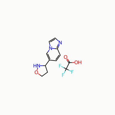 O=C(O)C(F)(F)F.c1cn2cc(C3CCON3)ccc2n1